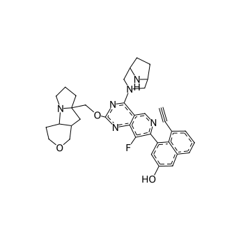 C#Cc1cccc2cc(O)cc(-c3ncc4c(N5CC6CCC(C5)N6)nc(OCC56CCCN5C5CCOCC5C6)nc4c3F)c12